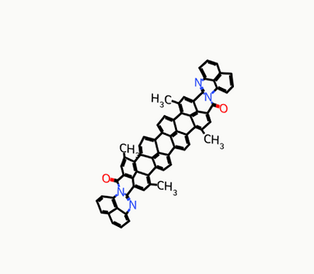 Cc1cc2c(=O)n3c4cccc5cccc(nc3c3cc(C)c6c7ccc8c9ccc%10c%11c(C)cc%12c(=O)n%13c%14cccc%15cccc(nc%13c%13cc(C)c(c%16ccc(c%17ccc(c1c6c23)c7c%178)c9c%10%16)c%11c%12%13)c%15%14)c54